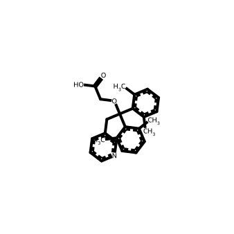 Cc1cccc(C)c1C(Cc1cccnc1)(OCC(=O)O)c1c(C)cccc1C